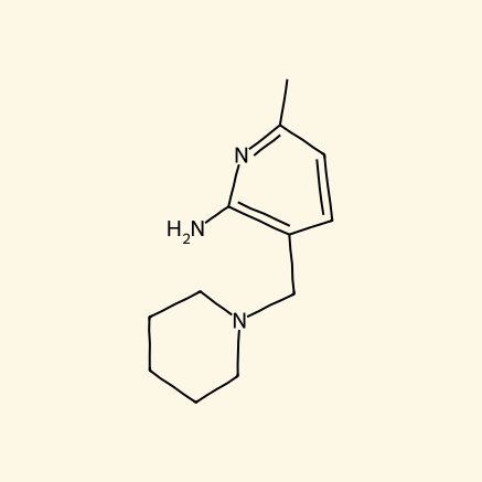 Cc1ccc(CN2CCCCC2)c(N)n1